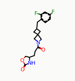 O=C1NC(CCC(=O)N2CC3(CC(Cc4ccc(F)cc4F)C3)C2)CO1